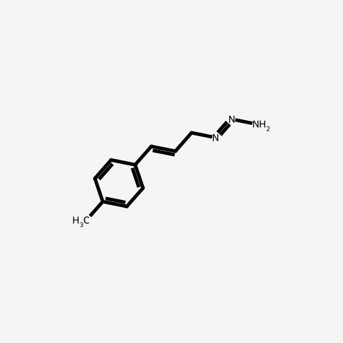 Cc1ccc(C=CCN=NN)cc1